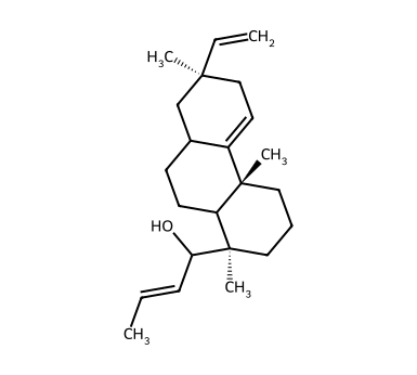 C=C[C@@]1(C)CC=C2C(CCC3[C@](C)(C(O)/C=C/C)CCC[C@@]23C)C1